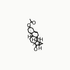 CC(=O)O[C@H]1CC[C@@]2(C)C(=CC[C@H]3[C@@H]4[C@@H]5C[C@@H]5C(=O)[C@@]4(C)CC[C@@H]32)C1